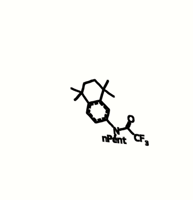 CCCCCN(C(=O)C(F)(F)F)c1ccc2c(c1)C(C)(C)CCC2(C)C